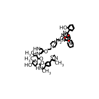 Cc1ncsc1-c1ccc([C@H](C)NC(=O)[C@@H]2C[C@@H](O)CN2C(=O)[C@@H](N/C=C(\C=N)OCCN2CCN(CCOc3cc(N4C5CCC4CN(c4cc(-c6ccccc6O)nnc4N)C5)ccn3)CC2)C(C)C)cc1